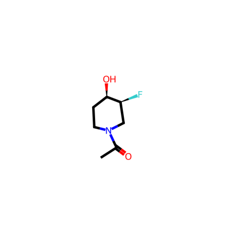 CC(=O)N1CC[C@@H](O)[C@@H](F)C1